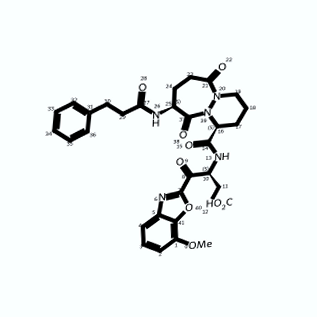 COc1cccc2nc(C(=O)[C@H](CC(=O)O)NC(=O)[C@@H]3CCCN4C(=O)CC[C@H](NC(=O)CCc5ccccc5)C(=O)N34)oc12